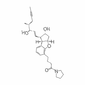 CC#CC[C@H](C)[C@H](O)C=C[C@@H]1[C@H]2c3cccc(CCCC(=O)N4CCCC4)c3O[C@H]2C[C@H]1O